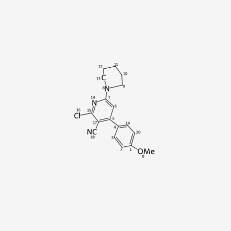 COc1ccc(-c2cc(N3CCCCC3)nc(Cl)c2C#N)cc1